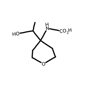 CC(O)C1(NC(=O)O)CCOCC1